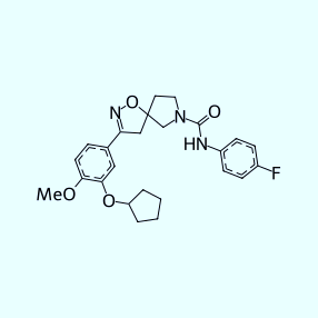 COc1ccc(C2=NOC3(CCN(C(=O)Nc4ccc(F)cc4)C3)C2)cc1OC1CCCC1